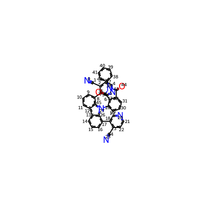 N#Cc1ccncc1-c1cccc2c3cccc(-c4cnccc4C#N)c3n(-c3cccc4c3C(=O)N(c3ccccc3)C4=O)c12